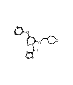 c1cncc(Oc2cnc(Nc3nccs3)c(OCC3CCOCC3)c2)c1